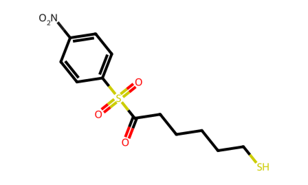 O=C(CCCCCS)S(=O)(=O)c1ccc([N+](=O)[O-])cc1